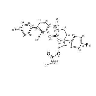 CNC(=O)OCCC1(c2ccc(F)cc2)CCN([C@@H](C)c2ccc(-c3ccc(F)cc3)c(F)c2)C(=O)O1